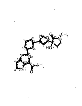 CN1CCC(O)(c2cc(-c3cccc(-c4nc(C(N)=O)c5[nH]ccc5n4)c3)no2)C1=O